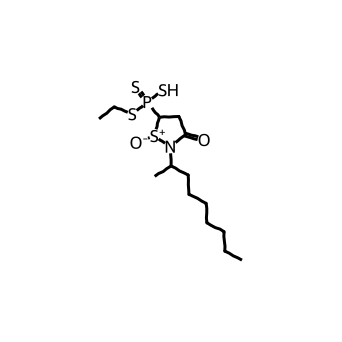 CCCCCCCC(C)N1C(=O)CC(P(=S)(S)SCC)[S+]1[O-]